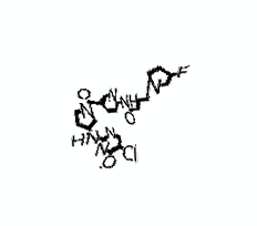 COc1nc(NC2CCN(C(=O)c3ccc(NC(=O)/C=C/CN4CCC(F)C4)nc3)C2)ncc1Cl